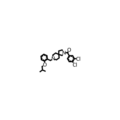 CC(C)COc1ccccc1CN1CCC2(CC1)CCN(C(=O)c1ccc(Cl)c(Cl)c1)C2